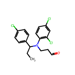 CCC(c1ccc(Cl)cc1)N(CCC=O)c1ccc(Cl)cc1Cl